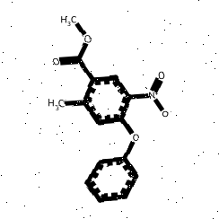 COC(=O)c1cc([N+](=O)[O-])c(Oc2ccccc2)cc1C